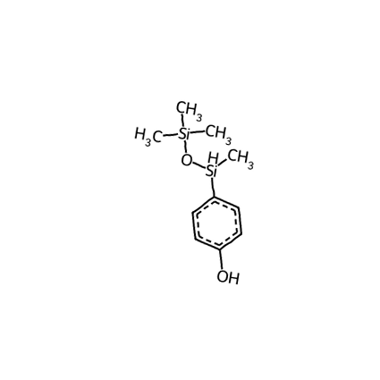 C[SiH](O[Si](C)(C)C)c1ccc(O)cc1